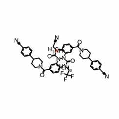 Cc1ccc(C(=O)N2CCC(c3ccc(C#N)cc3)CC2)cc1N(C(=O)NCC#N)N(C(=O)NCC(F)(F)F)c1cc(C(=O)N2CCC(c3ccc(C#N)cc3)CC2)ccc1C